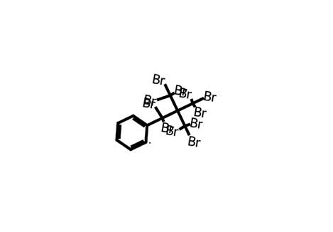 BrC(Br)(Br)C(C(Br)(Br)Br)(C(Br)(Br)Br)C(Br)(Br)c1[c]cccc1